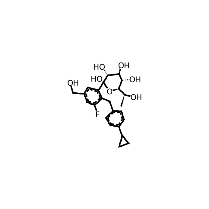 C[C@H](O)[C@H]1O[C@](O)(c2cc(CO)cc(F)c2Cc2ccc(C3CC3)cc2)[C@H](O)[C@@H](O)[C@@H]1O